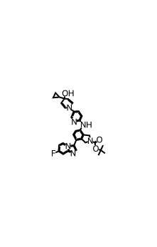 CC(C)(C)OC(=O)N1Cc2c(Nc3ccc(N4C=CC(O)(C5CC5)C=C4)cn3)ccc(-c3cnc4cc(F)ccn34)c2C1